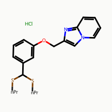 CCCSC(SCCC)c1cccc(OCc2cn3ccccc3n2)c1.Cl